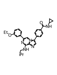 CCOc1cccc(-c2cn3c(-c4ccc(C(=O)NC5CC5)cc4)cnc3c(NCC(C)C)n2)c1